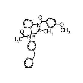 COc1ccc(C(=O)N2c3ccccc3[C@H](N(C(C)=O)c3ccc(Cc4ccccc4)cc3)C[C@@H]2C)cc1